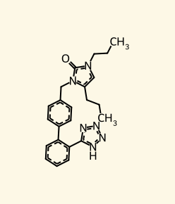 CCCc1cn(CCC)c(=O)n1Cc1ccc(-c2ccccc2-c2nnn[nH]2)cc1